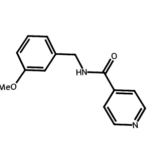 COc1cccc(CNC(=O)c2ccncc2)c1